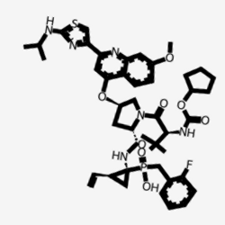 C=C[C@@H]1C[C@]1(NC(=O)[C@@H]1C[C@@H](Oc2cc(-c3csc(NC(C)C)n3)nc3cc(OC)ccc23)CN1C(=O)[C@@H](NC(=O)OC1CCCC1)C(C)(C)C)P(=O)(O)Cc1ccccc1F